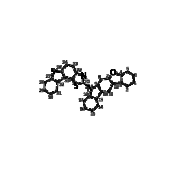 c1ccc2c(c1)oc1cc3c(cc12)c1ccccc1n3-c1nc2ccc3sc4ccccc4c3c2s1